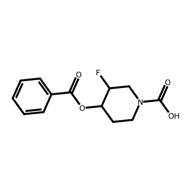 O=C(OC1CCN(C(=O)O)CC1F)c1ccccc1